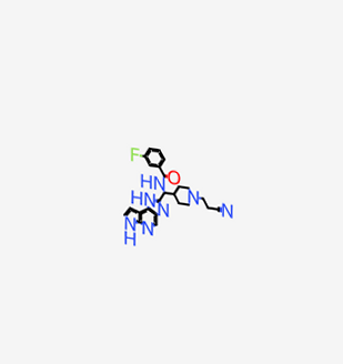 N#CCCN1CCC(C(NC(=O)c2cccc(F)c2)c2nc3cnc4[nH]ccc4c3[nH]2)CC1